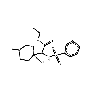 CCOC(=O)C(NS(=O)(=O)c1ccccc1)C1(S)CCN(C)CC1